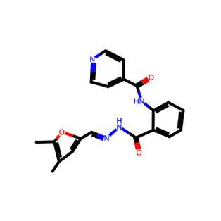 Cc1cc(C=NNC(=O)c2ccccc2NC(=O)c2ccncc2)oc1C